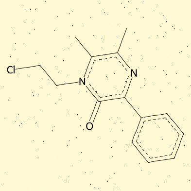 Cc1nc(-c2ccccc2)c(=O)n(CCCl)c1C